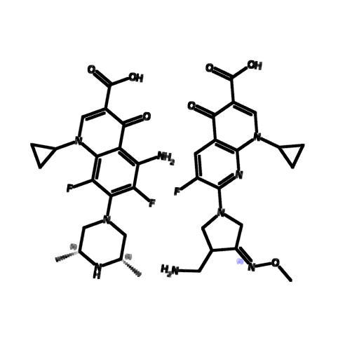 CO/N=C1\CN(c2nc3c(cc2F)c(=O)c(C(=O)O)cn3C2CC2)CC1CN.C[C@@H]1CN(c2c(F)c(N)c3c(=O)c(C(=O)O)cn(C4CC4)c3c2F)C[C@H](C)N1